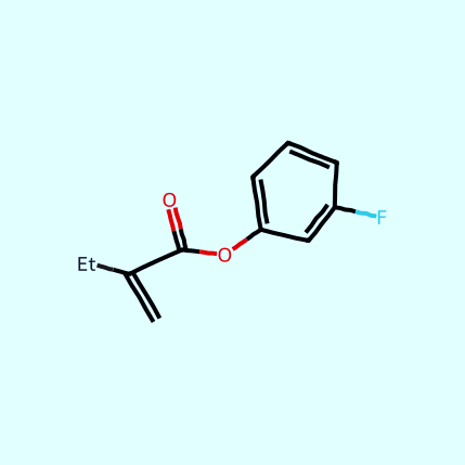 C=C(CC)C(=O)Oc1cccc(F)c1